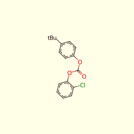 CC(C)(C)c1ccc(OC(=O)Oc2ccccc2Cl)cc1